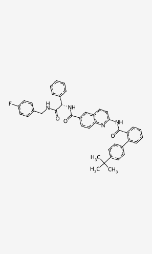 CC(C)(C)c1ccc(-c2ccccc2C(=O)Nc2ccc3cc(C(=O)N[C@H](C(=O)NCc4ccc(F)cc4)c4ccccc4)ccc3n2)cc1